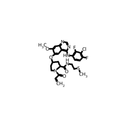 C=CC(=O)N1CCC(Oc2cc3c(Nc4ccc(F)c(Cl)c4F)ncnc3cc2OC)CC1C(=O)NCCSC